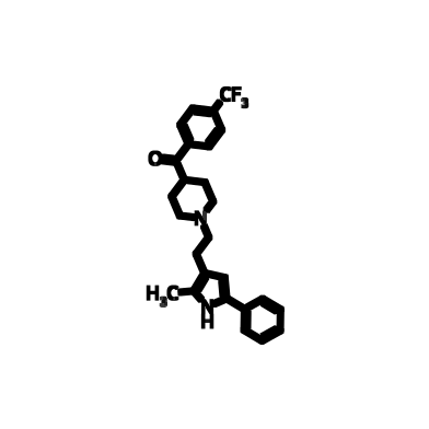 Cc1[nH]c(-c2ccccc2)cc1CCN1CCC(C(=O)c2ccc(C(F)(F)F)cc2)CC1